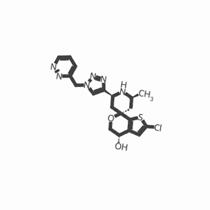 C[C@H]1C[C@@]2(C[C@@H](c3cn(Cc4cccnn4)nn3)N1)OC[C@@H](O)c1cc(Cl)sc12